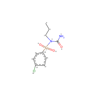 CCCN(C(N)=O)S(=O)(=O)c1ccc(Cl)cc1